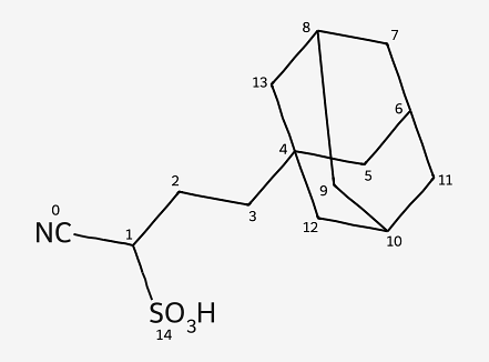 N#CC(CCC12CC3CC(CC(C3)C1)C2)S(=O)(=O)O